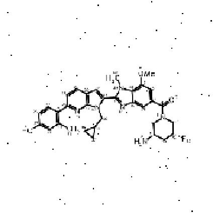 COc1cc(C(=O)N2C[C@H](N)C[C@@H](F)C2)cc2nc(-c3cc4ccc(-c5ccc(O)cc5C)nc4n3CC3CC3)n(C)c12